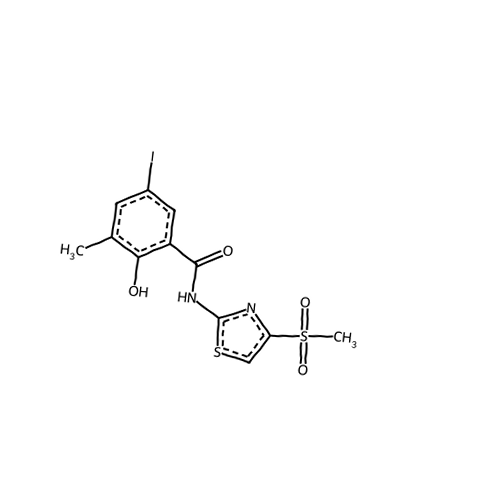 Cc1cc(I)cc(C(=O)Nc2nc(S(C)(=O)=O)cs2)c1O